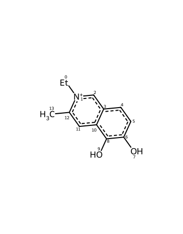 CC[n+]1cc2ccc(O)c(O)c2cc1C